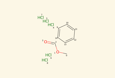 COC=O.Cl.Cl.Cl.Cl.Cl.c1ccccc1